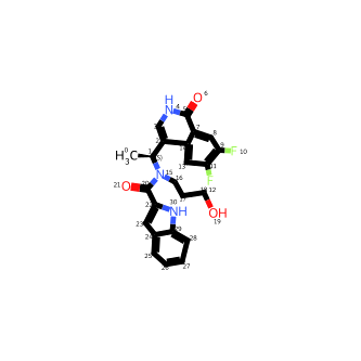 C[C@@H](c1c[nH]c(=O)c2cc(F)c(F)cc12)N(CCCO)C(=O)c1cc2ccccc2[nH]1